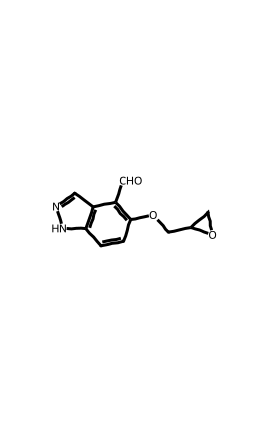 O=Cc1c(OCC2CO2)ccc2[nH]ncc12